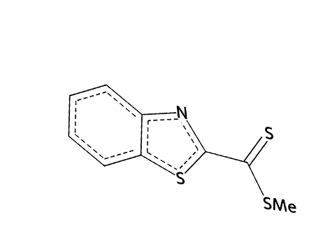 CSC(=S)c1nc2ccccc2s1